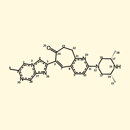 Cc1cn2cc(C3=Cc4ccc(N5C[C@@H](C)N[C@@H](C)C5)nc4CCC3=O)nc2cn1